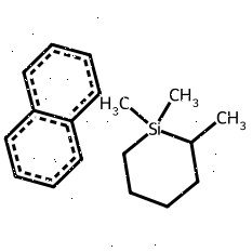 CC1CCCC[Si]1(C)C.c1ccc2ccccc2c1